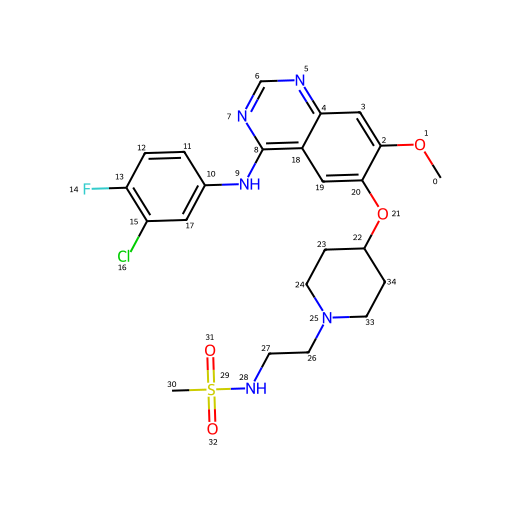 COc1cc2ncnc(Nc3ccc(F)c(Cl)c3)c2cc1OC1CCN(CCNS(C)(=O)=O)CC1